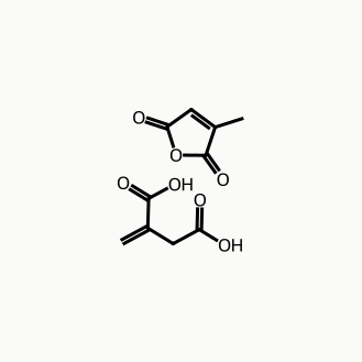 C=C(CC(=O)O)C(=O)O.CC1=CC(=O)OC1=O